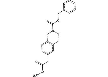 COC(=O)Cc1ccc2c(c1)CCN(C(=O)OCc1ccccc1)C2